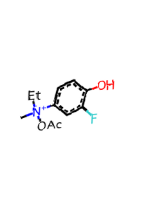 CC[N+](C)(OC(C)=O)c1ccc(O)c(F)c1